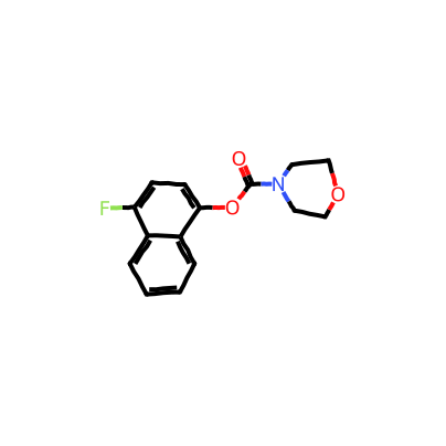 O=C(Oc1ccc(F)c2ccccc12)N1CCOCC1